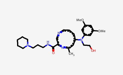 COc1cc(OC)cc(N(CCO)c2cccncc(C(=O)NCCCN3CCCCC3)nc(C)c2)c1